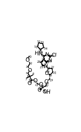 COCCOCC(C)(C)C(=O)OCOP(=O)(O)COC[C@@H]1CC[C@H](n2ccc3c(NC4CCCC4)nc(Cl)nc32)O1